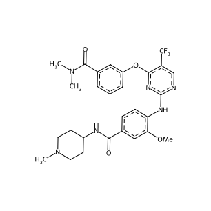 COc1cc(C(=O)NC2CCN(C)CC2)ccc1Nc1ncc(C(F)(F)F)c(Oc2cccc(C(=O)N(C)C)c2)n1